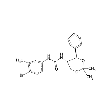 Cc1cc(NC(=O)N[C@H]2COC(C)(C)O[C@@H]2c2ccccc2)ccc1Br